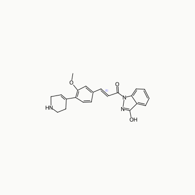 COc1cc(/C=C/C(=O)n2nc(O)c3ccccc32)ccc1C1=CCNCC1